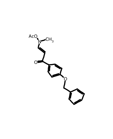 CC(=O)ON(C)C=CC(=O)c1ccc(OCc2ccccc2)cc1